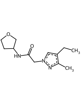 CCc1cn(CC(=O)NC2CCOC2)nc1C